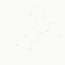 CN(C)c1nc(N)nc2nc(-c3ccccc3)c(-c3ccccc3)nc12